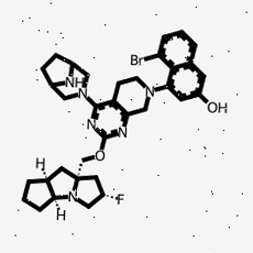 Oc1cc(N2CCc3c(nc(OC[C@]45C[C@H](F)CN4[C@H]4CCC[C@H]4C5)nc3N3CC4CCC(C3)N4)C2)c2c(Br)cccc2c1